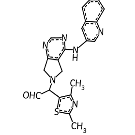 Cc1nc(C)c(C(C=O)N2Cc3ncnc(Nc4cnc5ccccc5c4)c3C2)s1